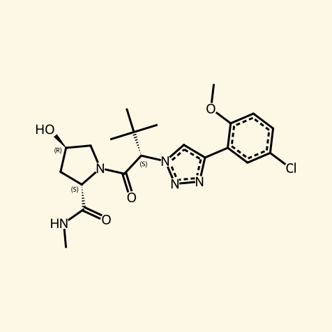 CNC(=O)[C@@H]1C[C@@H](O)CN1C(=O)[C@@H](n1cc(-c2cc(Cl)ccc2OC)nn1)C(C)(C)C